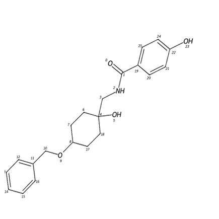 O=C(NCC1(O)CCC(OCc2ccccc2)CC1)c1ccc(O)cc1